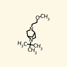 COCCN1CC2CC1CN2C(C)(C)C